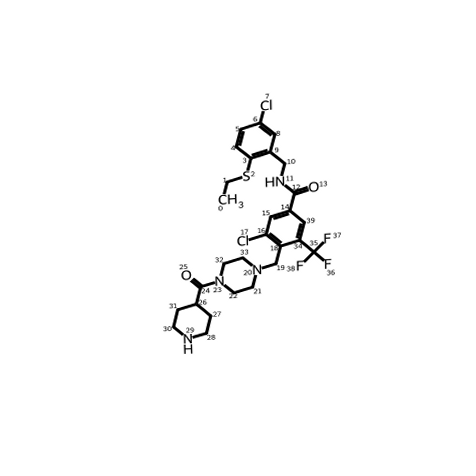 CCSc1ccc(Cl)cc1CNC(=O)c1cc(Cl)c(CN2CCN(C(=O)C3CCNCC3)CC2)c(C(F)(F)F)c1